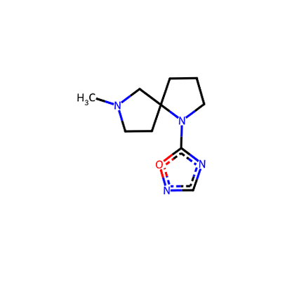 CN1CCC2(CCCN2c2ncno2)C1